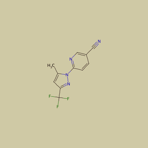 Cc1cc(C(F)(F)F)nn1-c1ccc(C#N)cn1